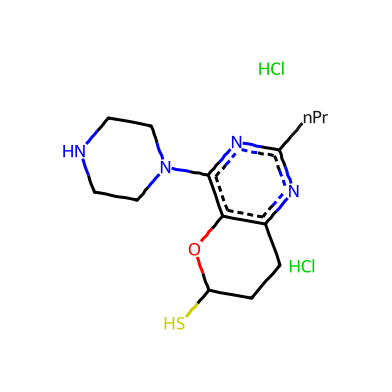 CCCc1nc2c(c(N3CCNCC3)n1)OC(S)CC2.Cl.Cl